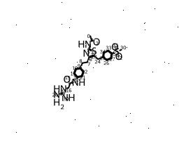 CC(=O)Nc1nc(CCc2ccc(NC(=O)CNC(=N)N)cc2)c(Cc2ccc(S(C)(=O)=O)cc2)s1